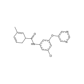 CC1=CC(C(=O)Nc2cc(Cl)cc(Oc3cncnc3)c2)CC=C1